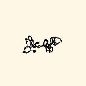 CCOC(=O)N1C2CCC1CC(NCCN(C=O)c1c(F)cccc1F)C2